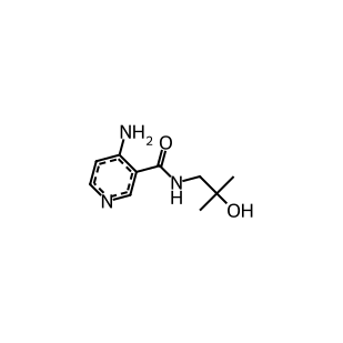 CC(C)(O)CNC(=O)c1cnccc1N